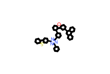 c1ccc(-c2nc(-c3cccc(-c4cccc5oc6ccc(-c7cc8ccccc8c8ccccc78)cc6c45)c3)nc(-c3ccc4c(c3)sc3ccccc34)n2)cc1